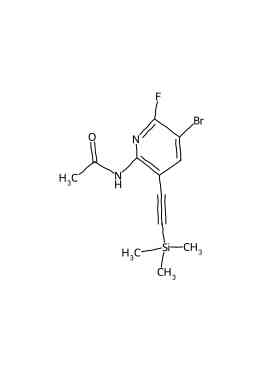 CC(=O)Nc1nc(F)c(Br)cc1C#C[Si](C)(C)C